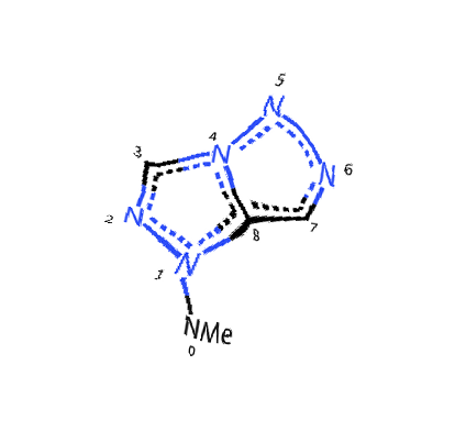 CNn1ncn2nncc12